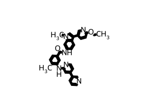 CCOc1ccc(-c2cn(C)c3cc(NC(=O)c4ccc(C)c(Nc5cc(-c6cccnc6)ccn5)c4)ccc23)cn1